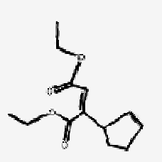 CCOC(=O)C=C(C(=O)OCC)C1CCCC1